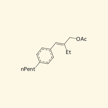 CCCCCc1ccc(/C=C(\CC)COC(C)=O)cc1